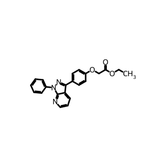 CCOC(=O)COc1ccc(-c2nn(-c3ccccc3)c3ncccc23)cc1